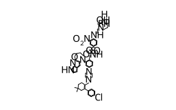 CC1(C)CCC(CN2CCN(c3ccc(C(=O)NS(=O)(=O)c4ccc(NCCN5CCCN[PH]5(C)O)c([N+](=O)[O-])c4)c(N4CCCOc5nc6[nH]ccc6cc54)c3)CC2)=C(c2ccc(Cl)cc2)C1